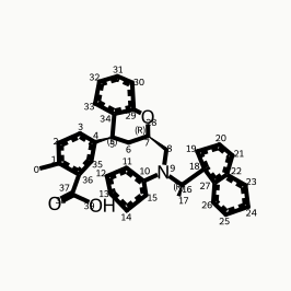 Cc1ccc([C@@H]2C[C@H](CN(c3ccccc3)[C@H](C)c3cccc4ccccc34)Oc3ccccc32)cc1C(=O)O